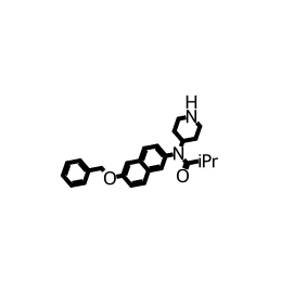 CC(C)C(=O)N(c1ccc2cc(OCc3ccccc3)ccc2c1)C1CCNCC1